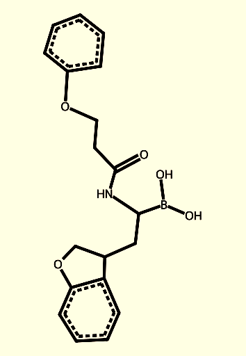 O=C(CCOc1ccccc1)NC(CC1COc2ccccc21)B(O)O